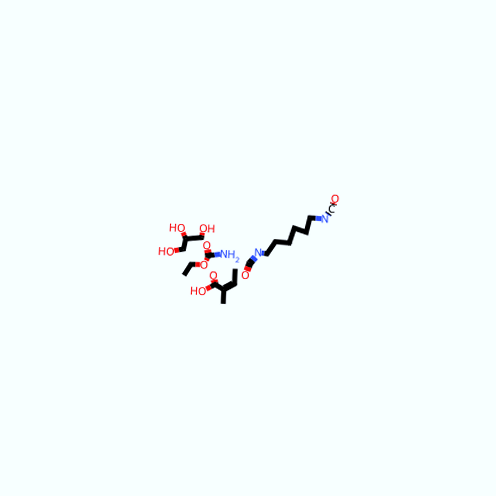 CC=C(C)C(=O)O.CCOC(N)=O.O=C=NCCCCCCN=C=O.OCC(O)CO